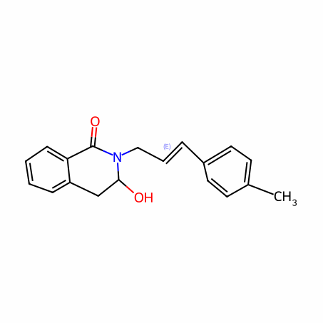 Cc1ccc(/C=C/CN2C(=O)c3ccccc3CC2O)cc1